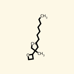 CCCCCCCCCC(C)(CC)C1CCO1